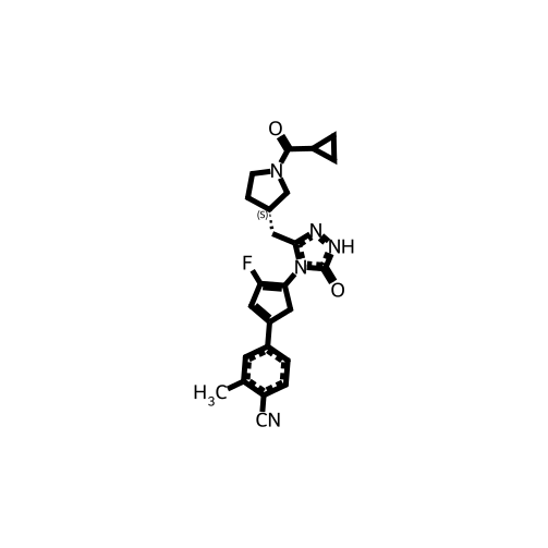 Cc1cc(C2=CC(F)=C(n3c(C[C@@H]4CCN(C(=O)C5CC5)C4)n[nH]c3=O)C2)ccc1C#N